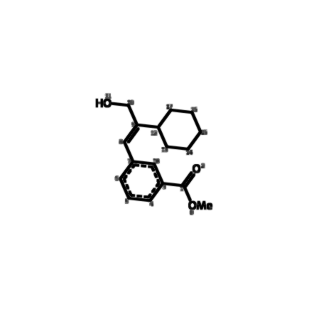 COC(=O)c1cccc(/C=C(/CO)C2CCCCC2)c1